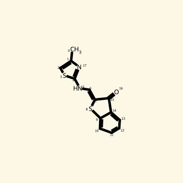 Cc1csc(N/C=C2\Sc3ccccc3C2=O)n1